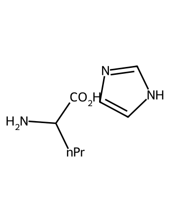 CCCC(N)C(=O)O.c1c[nH]cn1